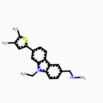 CCn1c2ccc(CNC)cc2c2ccc(-c3cc(C)c(C)s3)cc21